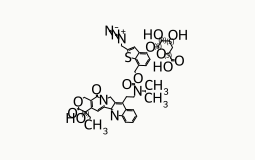 CC[C@]1(O)C(=O)OCc2c1cc1n(c2=O)Cc2c-1nc1ccccc1c2CCN(C(=O)OCc1ccc(O[C@@H]2O[C@H](C(=O)O)C[C@H](O)[C@H]2O)c2cc(CN=[N+]=[N-])sc12)C(C)C